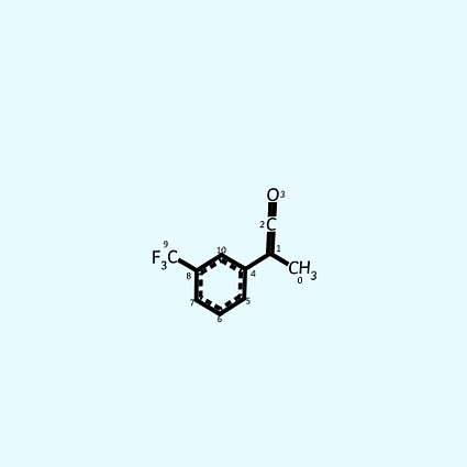 CC(=C=O)c1cccc(C(F)(F)F)c1